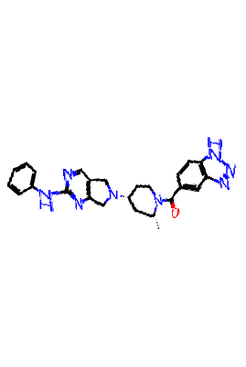 C[C@@H]1C[C@H](N2Cc3cnc(Nc4ccccc4)nc3C2)CCN1C(=O)c1ccc2[nH]nnc2c1